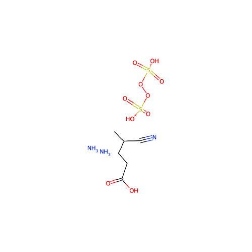 CC(C#N)CCC(=O)O.N.N.O=S(=O)(O)OOS(=O)(=O)O